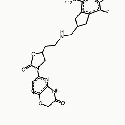 Cc1nc(C)c2c(c1F)CC(CNCCC1CN(c3cnc4c(n3)NC(=O)CO4)C(=O)O1)C2